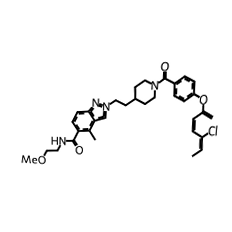 C=C(/C=C\C(Cl)=C/C)Oc1ccc(C(=O)N2CCC(CCn3cc4c(C)c(C(=O)NCCOC)ccc4n3)CC2)cc1